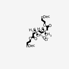 CCCCCCCCCCCCOC(=O)C[N+](C)(C)CC[N+](C)(C)CC(=O)OCCCCCCCCCCCC.[Cl-].[Cl-]